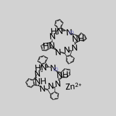 [Zn+2].c1ccc2c(c1)C1=NC2=Nc2[nH]c(c3ccccc23)[N-]c2[nH]c(c3ccccc23)/N=c2\[nH]c(c3ccccc23)=N1.c1ccc2c(c1)C1=NC2=Nc2[nH]c(c3ccccc23)[N-]c2[nH]c(c3ccccc23)/N=c2\[nH]c(c3ccccc23)=N1